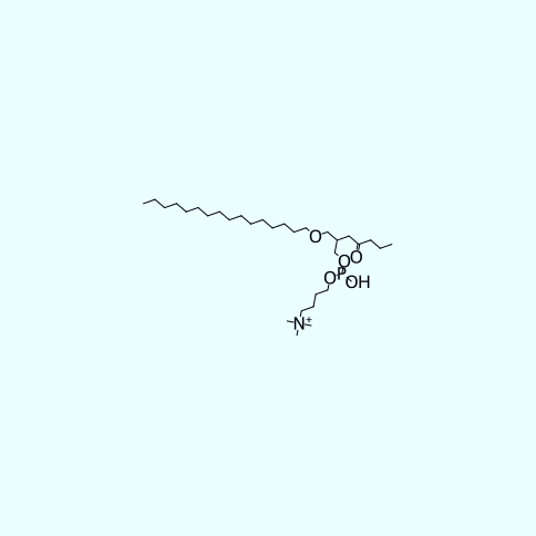 CCCCCCCCCCCCCCCCOCC(COP(O)OCCCC[N+](C)(C)C)CC(=O)CCC